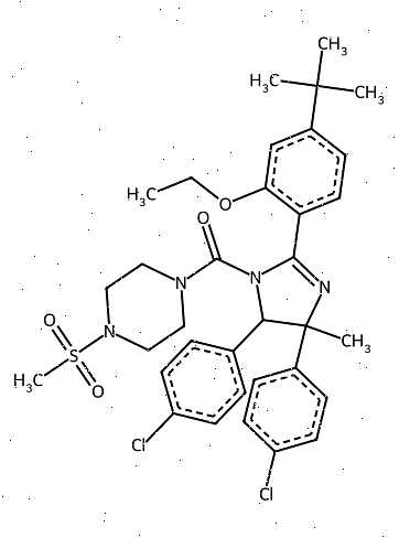 CCOc1cc(C(C)(C)C)ccc1C1=NC(C)(c2ccc(Cl)cc2)C(c2ccc(Cl)cc2)N1C(=O)N1CCN(S(C)(=O)=O)CC1